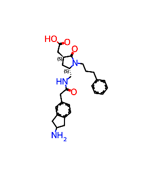 NC1Cc2ccc(CC(=O)NC[C@@H]3C[C@@H](CC(=O)O)C(=O)N3CCCc3ccccc3)cc2C1